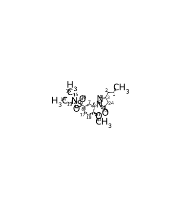 CCCC1=NN(c2cc(S(=O)(=O)N(CC)CC)ccc2OC)C(=O)C1